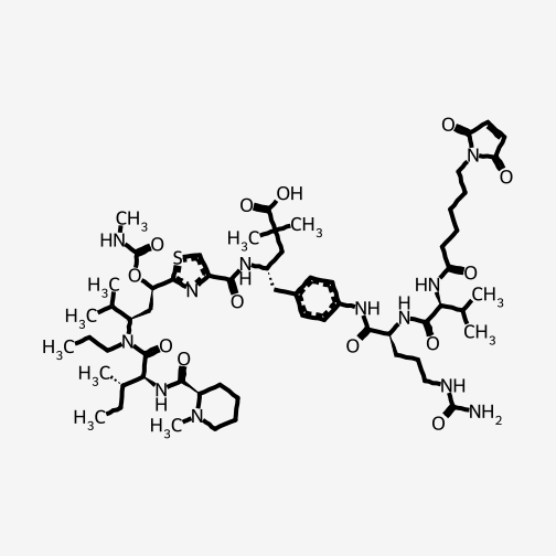 CCCN(C(=O)[C@@H](NC(=O)[C@H]1CCCCN1C)[C@@H](C)CC)[C@H](C[C@@H](OC(=O)NC)c1nc(C(=O)N[C@@H](Cc2ccc(NC(=O)[C@H](CCCNC(N)=O)NC(=O)[C@@H](NC(=O)CCCCCN3C(=O)C=CC3=O)C(C)C)cc2)CC(C)(C)C(=O)O)cs1)C(C)C